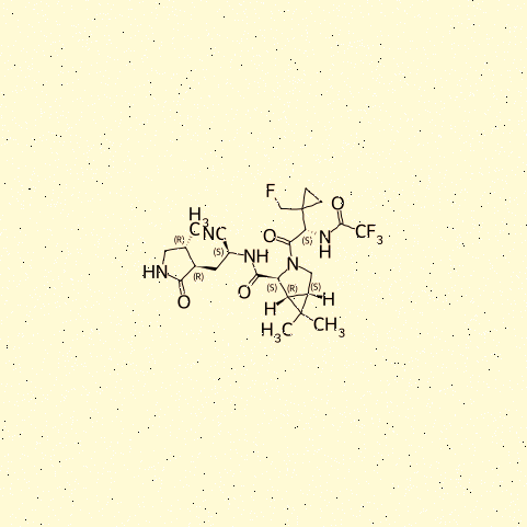 C[C@H]1CNC(=O)[C@@H]1C[C@@H](C#N)NC(=O)[C@@H]1[C@@H]2[C@H](CN1C(=O)[C@@H](NC(=O)C(F)(F)F)C1(CF)CC1)C2(C)C